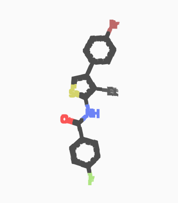 [CH2]Cc1c(-c2ccc(Br)cc2)csc1NC(=O)c1ccc(F)cc1